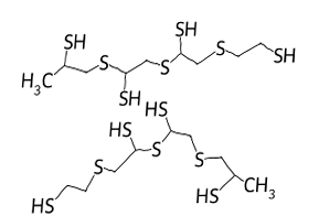 CC(S)CSC(S)CSC(S)CSCCS.CC(S)CSCC(S)SC(S)CSCCS